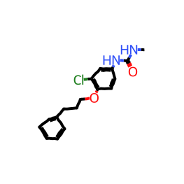 CNC(=O)Nc1ccc(OCCCc2ccccc2)c(Cl)c1